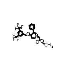 CCOC(=O)CN1CC[C@@H](OCc2cc(C(F)(F)F)cc(C(F)(F)F)c2)[C@@H](c2ccccc2)C1